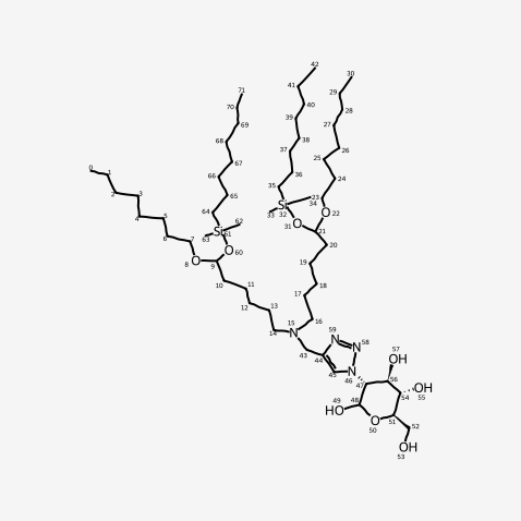 CCCCCCCCOC(CCCCCN(CCCCCC(OCCCCCCCC)O[Si](C)(C)CCCCCCCC)Cc1cn([C@H]2C(O)O[C@H](CO)[C@@H](O)[C@@H]2O)nn1)O[Si](C)(C)CCCCCCCC